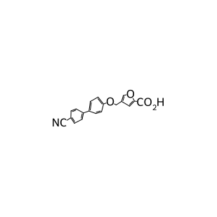 N#Cc1ccc(-c2ccc(OCc3coc(C(=O)O)c3)cc2)cc1